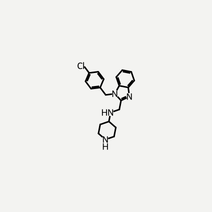 Clc1ccc(Cn2c(CNC3CCNCC3)nc3ccccc32)cc1